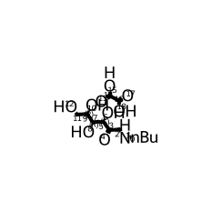 CCCCNCC(=O)[C@@H](O)[C@H](O)[C@H](O)CO.O=C(O)C(=O)O